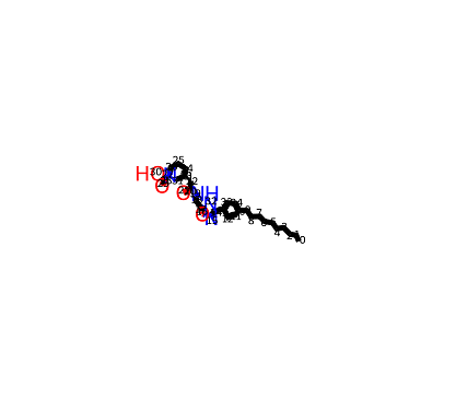 CCCCCCCCCCc1ccc(-c2noc(CNC(=O)C[C@@H]3CCCN(C(=O)O)C3)n2)cc1